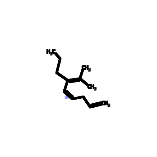 C=CC/C=C\C(CCC)=C(C)C